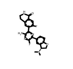 CN(C)[C@@H]1COc2ccc(-c3nc(-c4cc5c(cc4F)C(=O)NCC5)c(N)nc3F)cc21